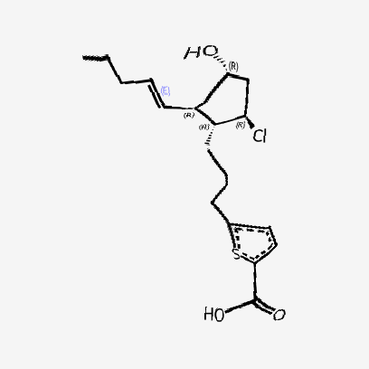 CCC/C=C/[C@@H]1[C@@H](CCCc2ccc(C(=O)O)s2)[C@H](Cl)C[C@H]1O